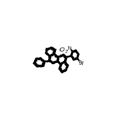 O=[N+]([O-])c1ccc(Br)cc1-c1cc2c3ccccc3c(-c3ccccc3)cc2c2ccccc12